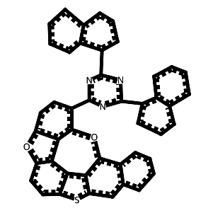 c1ccc2c(-c3nc(-c4cccc5ccccc45)nc(-c4ccc5oc6ccc7sc8cc9ccccc9c9oc4c5c6c7c89)n3)cccc2c1